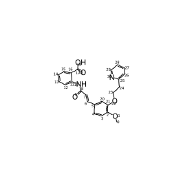 COc1ccc(/C=C/C(=O)Nc2ccccc2C(=O)O)cc1OCCc1ccccn1